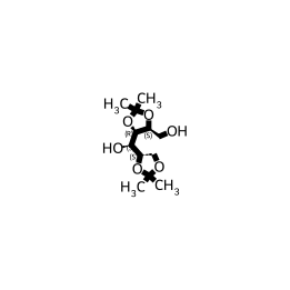 CC1(C)OC[C@@H]([C@H](O)[C@H]2OC(C)(C)O[C@H]2CO)O1